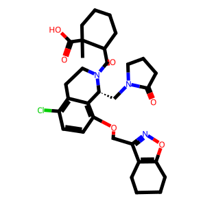 CC1(C(=O)O)CCCCC1C(=O)N1CCc2c(Cl)ccc(OCc3noc4c3CCCC4)c2[C@H]1CN1CCCC1=O